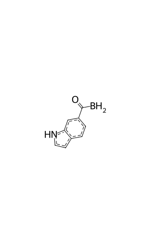 BC(=O)c1ccc2cc[nH]c2c1